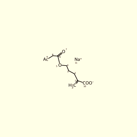 C=C(CCCOC(=O)CC(C)=O)C(=O)[O-].[Na+]